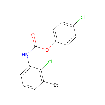 CCc1cccc(NC(=O)Oc2ccc(Cl)cc2)c1Cl